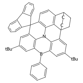 CC(C)(C)c1cc2c3c(c1)C14CCC(CC1)c1ccc5c(c14)N3c1c(cc(C(C)(C)C)cc1C51c3ccccc3-c3ccccc31)B2c1ccccc1